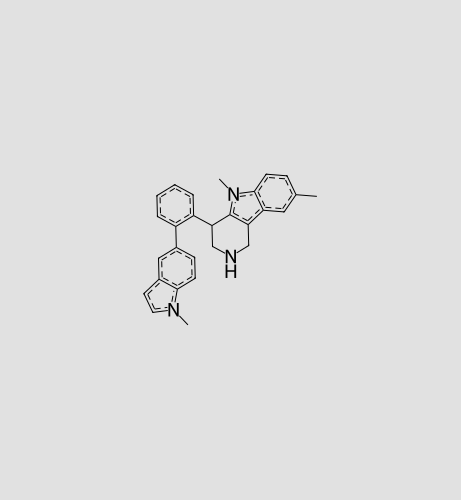 Cc1ccc2c(c1)c1c(n2C)C(c2ccccc2-c2ccc3c(ccn3C)c2)CNC1